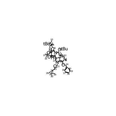 CC(C)(C)OC(=O)N1[C@H](CO[Si](C)(C)C(C)(C)C)[C@H]2OC(C)(C)O[C@H]2[C@@H]1c1cn(COCC[Si](C)(C)C)c2c(OCc3ccccc3)ncnc12